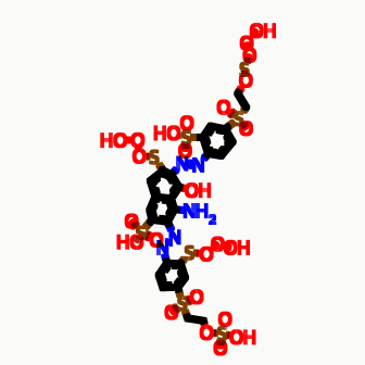 Nc1c(N=Nc2ccc(S(=O)(=O)CCOS(=O)(=O)O)cc2SOOO)c(S(=O)(=O)O)cc2cc(SOOO)c(N=Nc3ccc(S(=O)(=O)CCOSOOO)cc3S(=O)(=O)O)c(O)c12